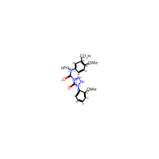 CCCN(C(=O)n1nnn(-c2ccccc2OC)c1=O)c1ccc(OC)c(C(=O)O)c1